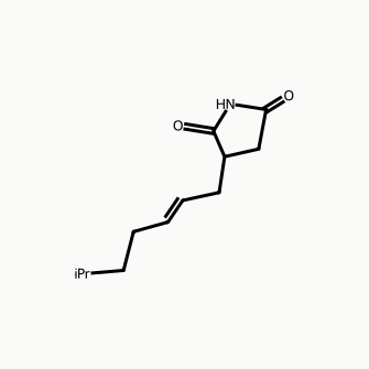 CC(C)CCC=CCC1CC(=O)NC1=O